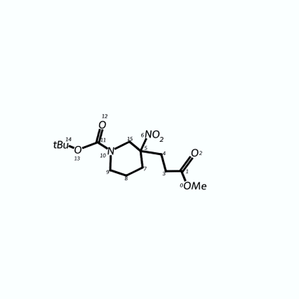 COC(=O)CCC1([N+](=O)[O-])CCCN(C(=O)OC(C)(C)C)C1